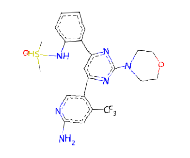 C[SH](C)(=O)Nc1ccccc1-c1cc(-c2cnc(N)cc2C(F)(F)F)nc(N2CCOCC2)n1